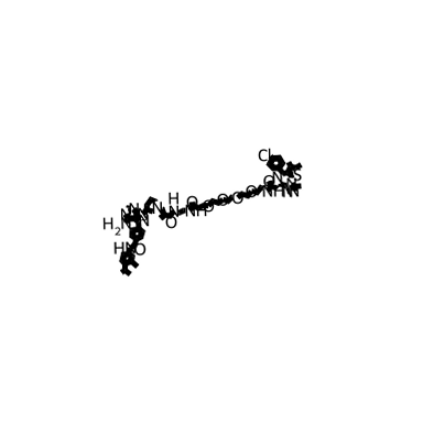 C=C(CN1CCCC(n2nc(-c3ccc(C(=O)Nc4ccc(C(C)C)c(C)c4)cc3)c3c(N)ncnc32)C1)C(=O)NCCNC(=O)CCOCCOCCOCCOCCNC(=O)C[C@H]1N=C(c2ccc(Cl)cc2)c2c(sc(C)c2C)-n2c(C)nnc21